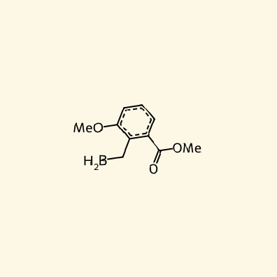 BCc1c(OC)cccc1C(=O)OC